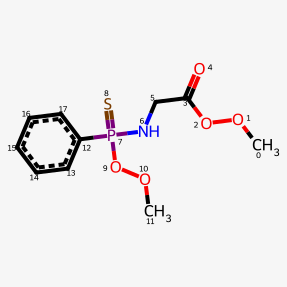 COOC(=O)CNP(=S)(OOC)c1ccccc1